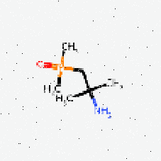 CC(C)(N)CP(C)(C)=O